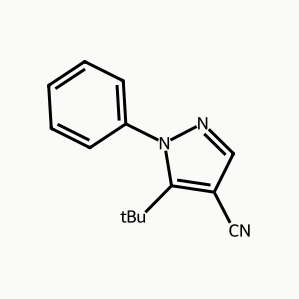 CC(C)(C)c1c(C#N)cnn1-c1ccccc1